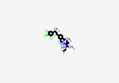 C=C1c2ccc(/C(F)=C/C(c3cc(Cl)c(Cl)c(Cl)c3)C(F)(F)F)cc2C(F)(F)N1NC1(C(=C)NCC(F)F)CC1